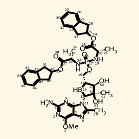 COc1nc(N)nc2c1nc(C)n2[C@@H]1B[C@H](COP(=O)(N[C@@H](C)C(=O)OC2Cc3ccccc3C2)N[C@@H](C)C(=O)OC2Cc3ccccc3C2)[C@@H](O)[C@@]1(C)O